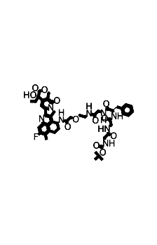 CC[C@@]1(O)C(=O)OCc2c1cc1n(c2=O)Cc2c-1nc1cc(F)c(C)c3c1c2[C@@H](NC(=O)COCCNC(=O)CNC(=O)[C@H](Cc1ccccc1)NC(=O)CNC(=O)CNC(=O)OC(C)(C)C)CC3